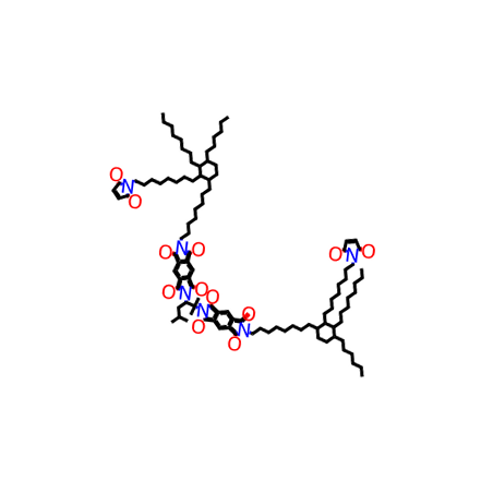 CCCCCCCCC1C(CCCCCC)CCC(CCCCCCCCn2c(=O)c3cc4c(=O)n(C(CC(C)C)C(C)(C)n5c(=O)c6cc7c(=O)n(CCCCCCCCC8CCC(CCCCCC)C(CCCCCCCC)C8CCCCCCCCN8C(=O)C=CC8=O)c(=O)c7cc6c5=O)c(=O)c4cc3c2=O)C1CCCCCCCCN1C(=O)C=CC1=O